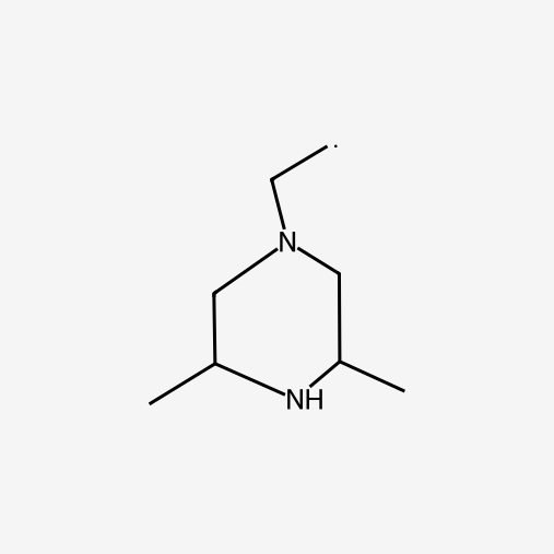 [CH2]CN1CC(C)NC(C)C1